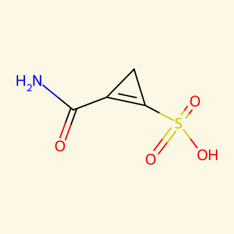 NC(=O)C1=C(S(=O)(=O)O)C1